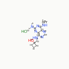 CCCNc1nc(N(C)C)nc2c(NCC3(O)CCC3)ncnc12.Cl